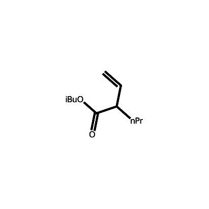 C=CC(CCC)C(=O)OCC(C)C